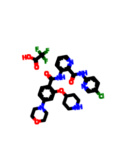 O=C(Nc1cccnc1C(=O)Nc1ccc(Cl)cn1)c1ccc(N2CCOCC2)cc1OC1CCNCC1.O=C(O)C(F)(F)F